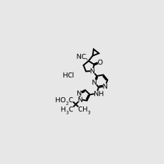 CC(C)(C(=O)O)n1cc(Nc2nccc(N3CC[C@@](C#N)(C4CC4)C3=O)n2)cn1.Cl